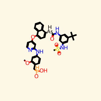 COc1cc(Nc2cc(Oc3ccc([AsH]C(=O)Nc4cc(NS(C)(=O)=O)cc(C(C)(C)C)c4)c4ccccc34)ccn2)ccc1C[PH](=O)O